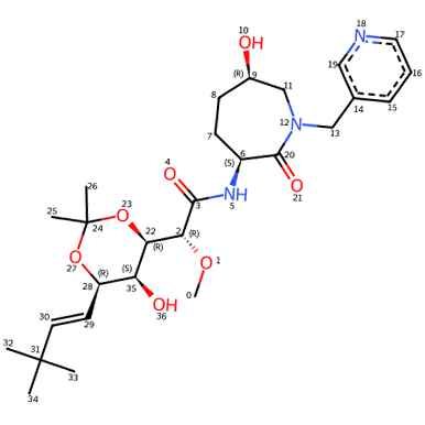 CO[C@@H](C(=O)N[C@H]1CC[C@@H](O)CN(Cc2cccnc2)C1=O)[C@@H]1OC(C)(C)O[C@H](C=CC(C)(C)C)[C@@H]1O